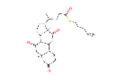 CC(CCC(=O)SCCCS(=O)(=O)O)C1CCC2C3C(=O)CC4(C)CC(=O)CCC4C3CC(=O)C12C